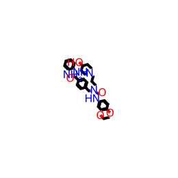 Nc1ccccc1NC(=O)c1ccc(CN(CCCN2CCC(O)CC2)C(=O)Nc2ccc3c(c2)OCCO3)cc1